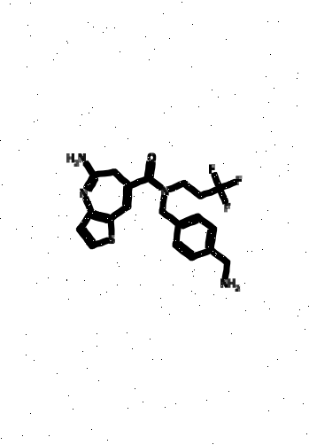 NCc1ccc(CN(CCC(F)(F)F)C(=O)C2=Cc3sccc3N=C(N)C2)cc1